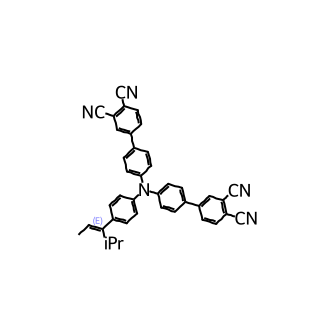 C/C=C(/c1ccc(N(c2ccc(-c3ccc(C#N)c(C#N)c3)cc2)c2ccc(-c3ccc(C#N)c(C#N)c3)cc2)cc1)C(C)C